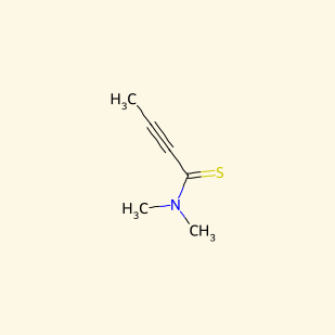 CC#CC(=S)N(C)C